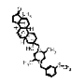 CC1CN(C[C@@]2(O)CC[C@@]3(C)[C@@H](CC[C@@H]4[C@@H]3CC[C@]3(C)C(=O)CC[C@@H]43)C2)C(C)CN1Cc1cccc(SC(F)(F)F)c1